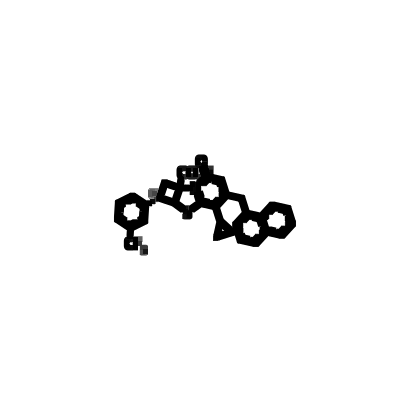 O=C(O)C12C[C@@H](c3cccc(C(F)(F)F)c3)C1Sc1c(C3CC3)c(Cc3cccc4ccccc34)cc(=O)n12